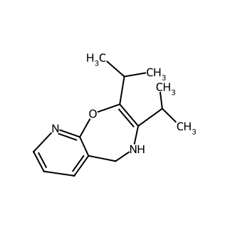 CC(C)C1=C(C(C)C)Oc2ncccc2CN1